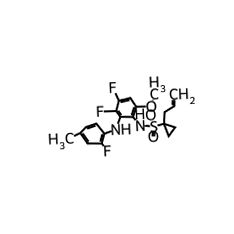 C=CCC1(S(=O)(=O)Nc2c(OC)cc(F)c(F)c2Nc2ccc(C)cc2F)CC1